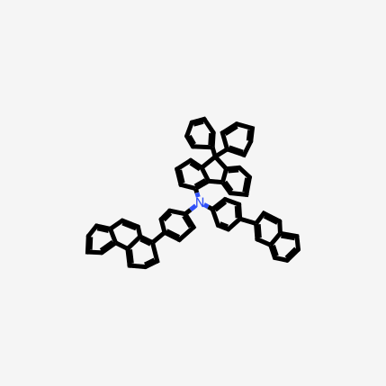 c1ccc(C2(c3ccccc3)c3ccccc3-c3c(N(c4ccc(-c5ccc6ccccc6c5)cc4)c4ccc(-c5cccc6c5ccc5ccccc56)cc4)cccc32)cc1